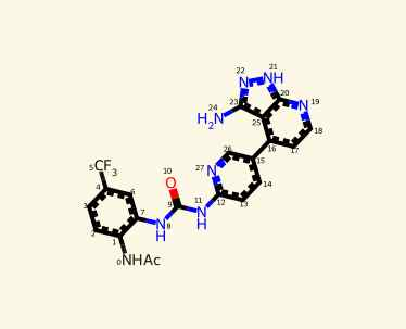 CC(=O)Nc1ccc(C(F)(F)F)cc1NC(=O)Nc1ccc(-c2ccnc3[nH]nc(N)c23)cn1